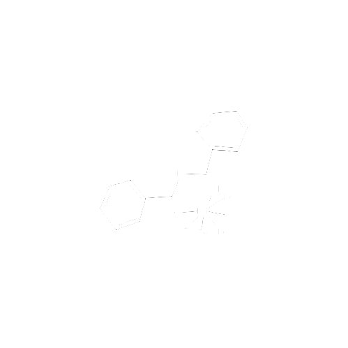 [Cl][Pd]([Cl])([Fe])([Fe])([Fe])([Fe])[Fe].c1ccc(CPCc2ccccc2)cc1